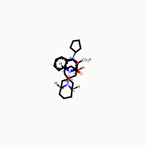 O=C(O)c1nc2ccccc2n([C@H]2C[C@H]3CCC[C@@H](C2)N3[C@@H]2C[C@@H]3C[C@@H](C[C@@H](C4CCCC4)C3)C2)c1=O